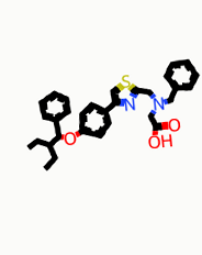 CCC(CC)C(Oc1ccc(-c2csc(CN(CC(=O)O)Cc3ccccc3)n2)cc1)c1ccccc1